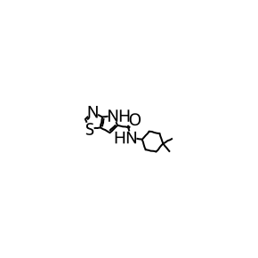 CC1(C)CCC(NC(=O)c2cc3scnc3[nH]2)CC1